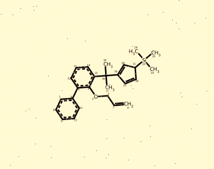 C=CCOc1c(-c2ccccc2)cccc1C(C)(C)C1=CC([Si](C)(C)C)C=C1